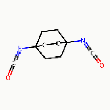 O=C=NC12CCC(N=C=O)(CC1)CC2